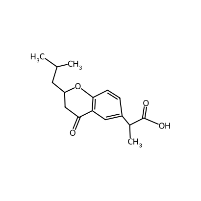 CC(C)CC1CC(=O)c2cc(C(C)C(=O)O)ccc2O1